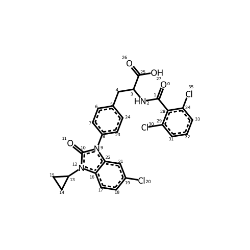 O=C(NC(Cc1ccc(-n2c(=O)n(C3CC3)c3ccc(Cl)cc32)cc1)C(=O)O)c1c(Cl)cccc1Cl